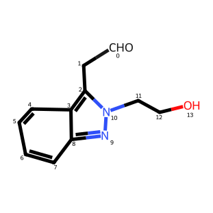 O=CCc1c2ccccc2nn1CCO